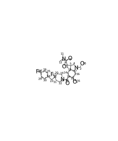 COCN1CC(C(=O)C(=O)N(C)C)c2cc(C(=O)N3CCC(F)(Cc4ccc(F)cc4)CC3)c(OC)cc21